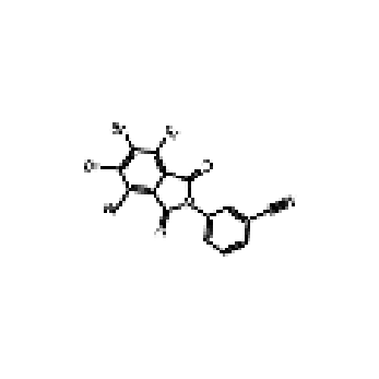 N#Cc1cccc(N2C(=O)c3c(Br)c(Br)c(Br)c(Br)c3C2=O)c1